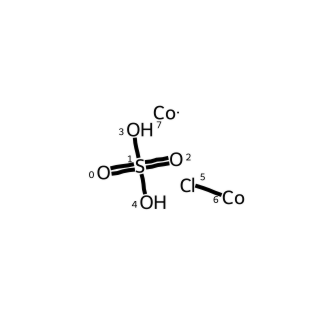 O=S(=O)(O)O.[Cl][Co].[Co]